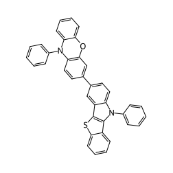 c1ccc(N2c3ccccc3Oc3cc(-c4ccc5c(c4)c4sc6ccccc6c4n5-c4ccccc4)ccc32)cc1